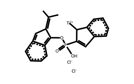 CC(C)=C1C=c2ccccc2=C1OP(=O)(O)C1=Cc2ccccc2[CH]1[Ti+2].[Cl-].[Cl-]